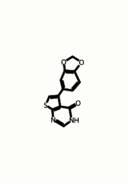 O=c1[nH]cnc2scc(-c3ccc4c(c3)OCO4)c12